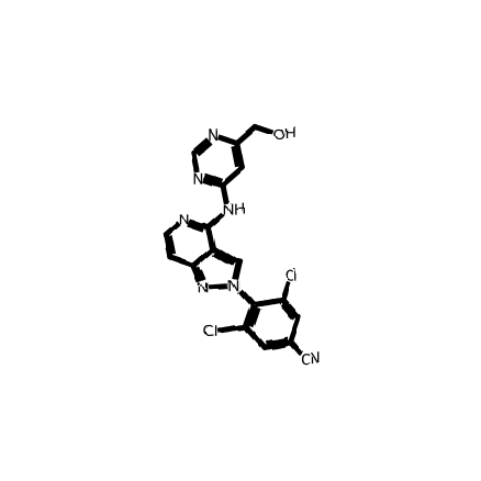 N#Cc1cc(Cl)c(-n2cc3c(Nc4cc(CO)ncn4)nccc3n2)c(Cl)c1